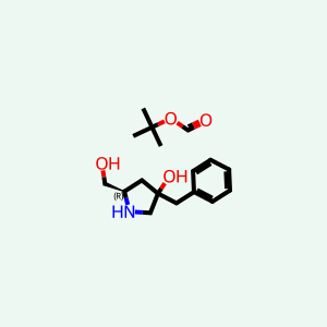 CC(C)(C)OC=O.OC[C@H]1CC(O)(Cc2ccccc2)CN1